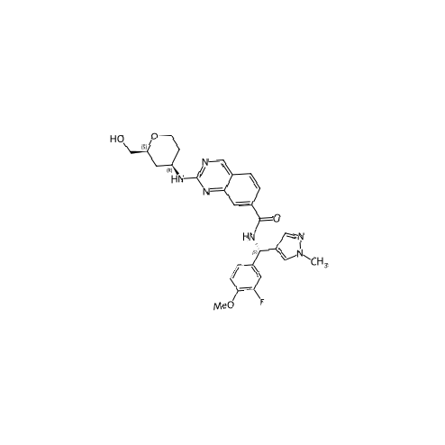 COc1ccc([C@H](NC(=O)c2ccc3cnc(N[C@@H]4CCO[C@H](CO)C4)nc3c2)c2cnn(C)c2)cc1F